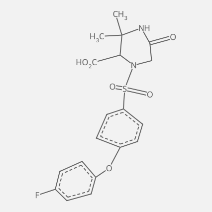 CC1(C)NC(=O)CN(S(=O)(=O)c2ccc(Oc3ccc(F)cc3)cc2)C1C(=O)O